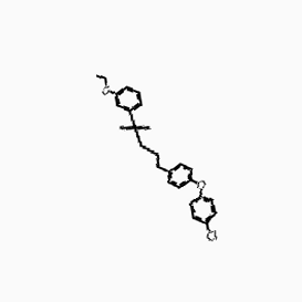 CCOc1cccc(C(C)(C)CCCc2ccc(Oc3ccc(Cl)cc3)cc2)c1